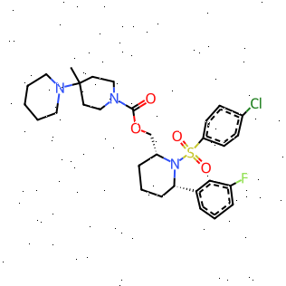 CC1(N2CCCCC2)CCN(C(=O)OC[C@H]2CCC[C@@H](c3cccc(F)c3)N2S(=O)(=O)c2ccc(Cl)cc2)CC1